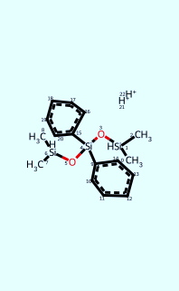 C[SiH](C)O[Si](O[SiH](C)C)(c1ccccc1)c1ccccc1.[H+].[H+]